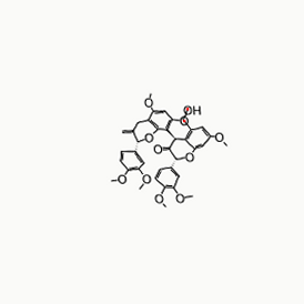 C=C1Cc2c(OC)cc(OC)c([C@@H]3C(=O)[C@@H](c4ccc(OC)c(OC)c4)Oc4cc(OC)cc(CO)c43)c2O[C@@H]1c1ccc(OC)c(OC)c1